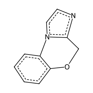 c1ccc2c(c1)OCc1nccn1-2